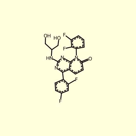 O=c1ccc2c(-c3ccc(F)cc3F)nc(NC(CO)CO)nc2n1-c1cccc(F)c1F